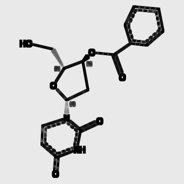 O=C(O[C@H]1C[C@H](n2ccc(=O)[nH]c2=O)O[C@@H]1CO)c1ccccc1